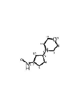 CNC1CCC(N2CCOCC2)C1